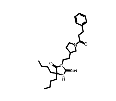 CCCCC1(CCCC)NC(=N)N(CCC2CCN(C(=O)CCc3ccccc3)C2)C1=O